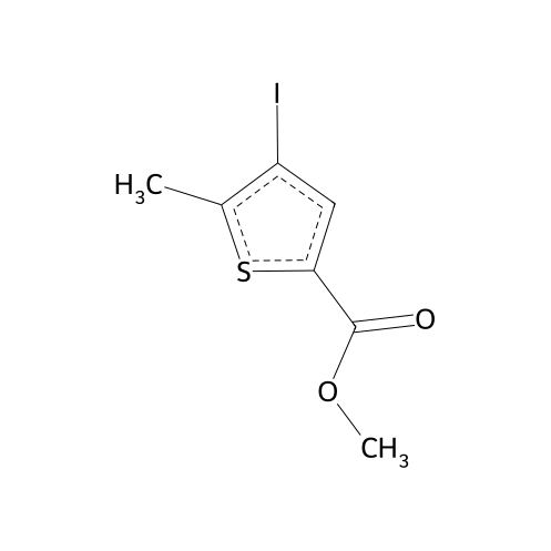 COC(=O)c1cc(I)c(C)s1